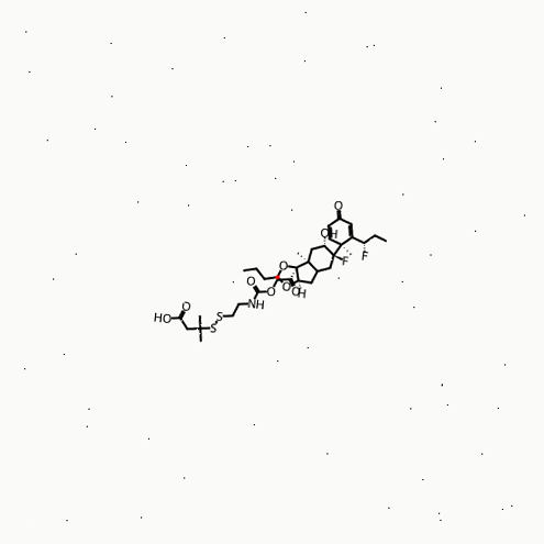 CCCC1O[C@@H]2CC3C[C@@](F)([C@@]4(C)C=CC(=O)C=C4[C@@H](F)CC)[C@@H](O)C[C@]3(C)[C@]2(C(=O)COC(=O)NCCSSC(C)(C)CC(=O)O)O1